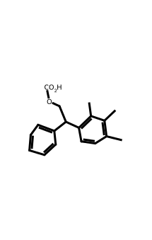 Cc1ccc(C(COC(=O)O)c2ccccc2)c(C)c1C